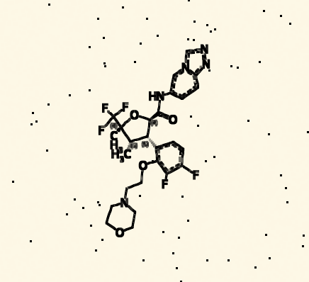 C[C@H]1[C@@H](c2ccc(F)c(F)c2OCCN2CCOCC2)[C@H](C(=O)Nc2ccc3nncn3c2)O[C@@]1(C)C(F)(F)F